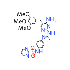 COc1cc(Cc2cnc(NC(C)=Nc3ccc(NS(=O)(=O)c4ncc(C)cn4)cc3)nc2N)cc(OC)c1OC